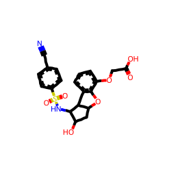 N#Cc1ccc(S(=O)(=O)NC2C(O)CC3Oc4c(OCC(=O)O)cccc4C32)cc1